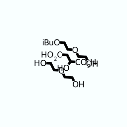 CC(C)COCCOCCO.O=C(O)CC(O)C(=O)O.OCCOCCO